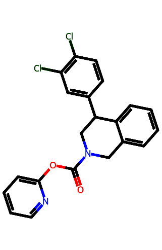 O=C(Oc1ccccn1)N1Cc2ccccc2C(c2ccc(Cl)c(Cl)c2)C1